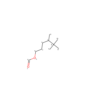 CC(CCCO[C]=O)C(C)(C)C